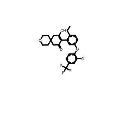 CCc1ccc(Oc2ccc(C(F)(F)F)cc2Cl)cc1C1=C(O)CC2(CCOCC2)CC1=O